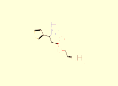 C=CCOC(=O)CC(N)c1ccsc1